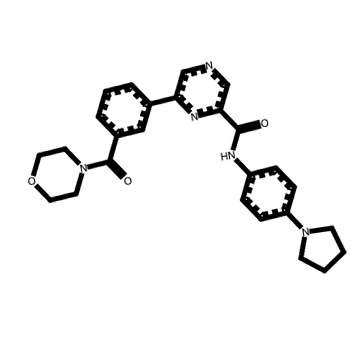 O=C(Nc1ccc(N2CCCC2)cc1)c1cncc(-c2cccc(C(=O)N3CCOCC3)c2)n1